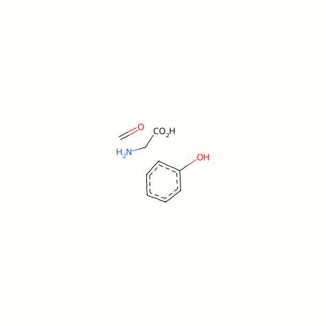 C=O.NCC(=O)O.Oc1ccccc1